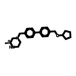 C[C@H]1CN(Cc2ccc(-c3ccc(COC4CCCC4)cc3)cc2)CCN1